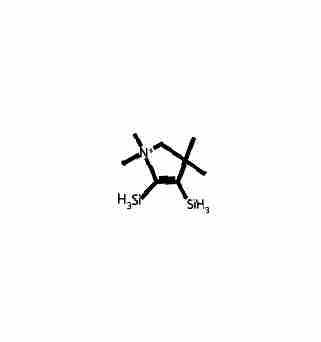 CC1(C)C[N+](C)(C)C([SiH3])=C1[SiH3]